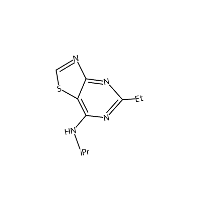 CCc1nc(NC(C)C)c2scnc2n1